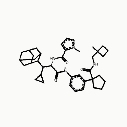 Cn1nccc1C(=O)N[C@H](C(=O)Nc1cccc(C2(C(=O)NCC3(C)CCC3)CCCC2)c1)C(C1CC1)C1C2CC3CC(C2)CC1C3